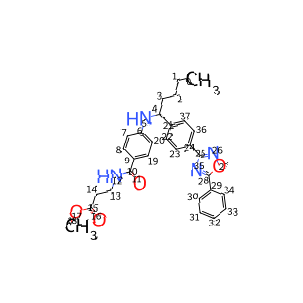 CCCCC(Nc1ccc(C(=O)NCCC(=O)OC)cc1)c1ccc(-c2noc(-c3ccccc3)n2)cc1